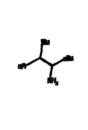 CCCCC(N)C(CCC)C(C)CC